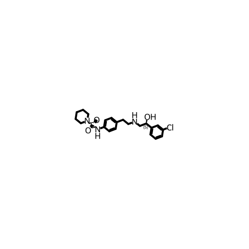 O=S(=O)(Nc1ccc(CCNC[C@@H](O)c2cccc(Cl)c2)cc1)N1CCCCC1